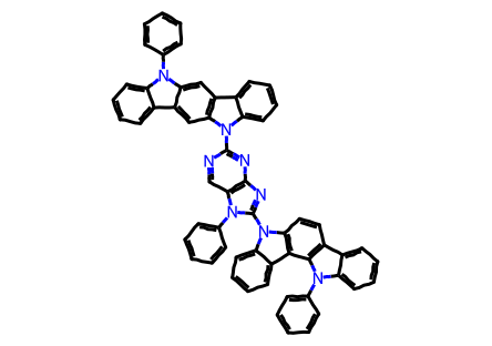 c1ccc(-n2c(-n3c4ccccc4c4c3ccc3c5ccccc5n(-c5ccccc5)c34)nc3nc(-n4c5ccccc5c5cc6c(cc54)c4ccccc4n6-c4ccccc4)ncc32)cc1